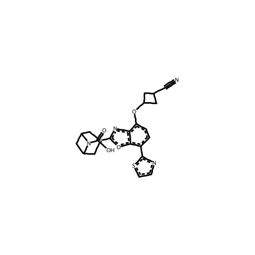 N#CC1CC(Oc2ccc(-c3nccs3)c3oc(N4CC5CC(C4)N5C(=O)O)nc23)C1